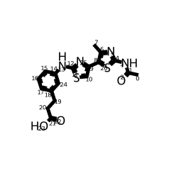 CC(=O)Nc1nc(C)c(-c2csc(Nc3cccc(CCC(=O)O)c3)n2)s1